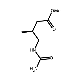 COC(=O)C[C@H](C)CNC(N)=O